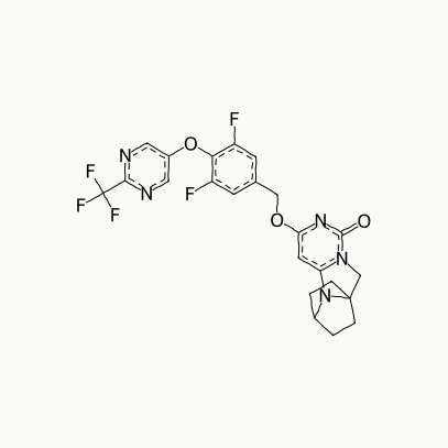 O=c1nc(OCc2cc(F)c(Oc3cnc(C(F)(F)F)nc3)c(F)c2)cc2n1CC13CCC(CC1)N23